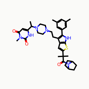 Cc1cc(C)cc(-c2[nH]c3sc(C(C)(C)C(=O)N4C5CCC4CC5)cc3c2CCN2CCN(C(C)c3cc(=O)n(C)c(=O)[nH]3)CC2)c1